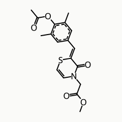 COC(=O)CN1C=CSC(=Cc2cc(C)c(OC(C)=O)c(C)c2)C1=O